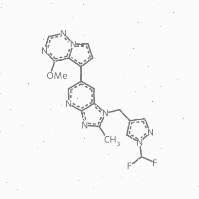 COc1ncnn2ccc(-c3cnc4nc(C)n(Cc5cnn(C(F)F)c5)c4c3)c12